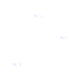 NCSC(CN)SCN